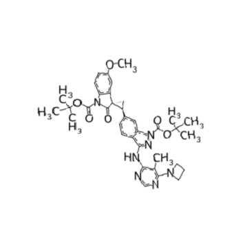 COc1ccc2c(c1)[C@]1(C[C@H]1c1ccc3c(Nc4ncnc(N5CCC5)c4C)nn(C(=O)OC(C)(C)C)c3c1)C(=O)N2C(=O)OC(C)(C)C